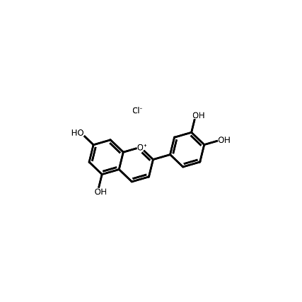 Oc1cc(O)c2ccc(-c3ccc(O)c(O)c3)[o+]c2c1.[Cl-]